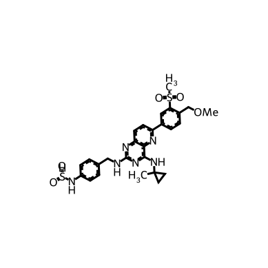 COCc1ccc(-c2ccc3nc(NCc4ccc(N[SH](=O)=O)cc4)nc(NC4(C)CC4)c3n2)cc1S(C)(=O)=O